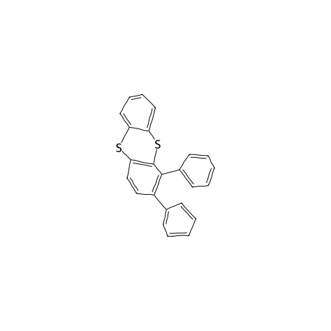 c1ccc(-c2ccc3c(c2-c2ccccc2)Sc2ccccc2S3)cc1